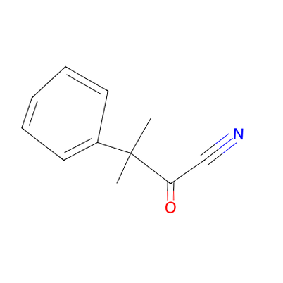 CC(C)(C(=O)C#N)c1ccccc1